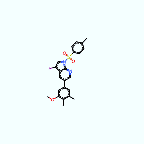 COc1cc(-c2cnc3c(c2)c(I)cn3S(=O)(=O)c2ccc(C)cc2)cc(C)c1C